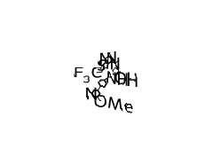 COc1cncc(-c2ccc(CN[C@@H]3C[C@H](N(C)c4ncnc5sc(CC(F)(F)F)cc45)C[C@@H]3O)cc2)c1